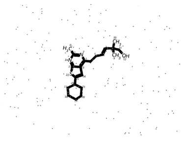 Cc1nc(CC/C=C/C(C)(C)CO)c2cc(C3CCCCC3)sc2n1